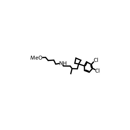 COCCCCNCCC(C)CC1(c2ccc(Cl)c(Cl)c2)CCC1